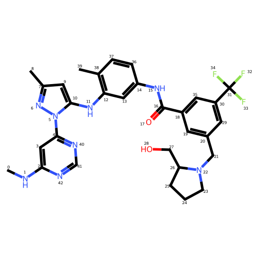 CNc1cc(-n2nc(C)cc2Nc2cc(NC(=O)c3cc(CN4CCCC4CO)cc(C(F)(F)F)c3)ccc2C)ncn1